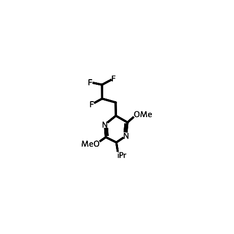 COC1=NC(C(C)C)C(OC)=NC1CC(F)C(F)F